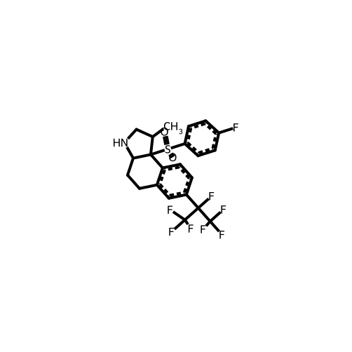 CC1CNC2CCc3cc(C(F)(C(F)(F)F)C(F)(F)F)ccc3C12S(=O)(=O)c1ccc(F)cc1